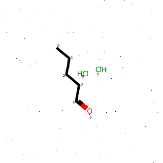 CCCCC=O.Cl.Cl